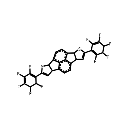 FC1=C(F)C(F)C(F)C(F)=C1C1=CC2c3ccc4c5c(ccc(c35)C2S1)C1SC(C2=C(F)C(F)=C(F)C(F)C2F)=CC41